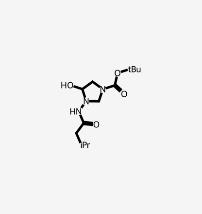 CC(C)CC(=O)NN1CN(C(=O)OC(C)(C)C)CC1O